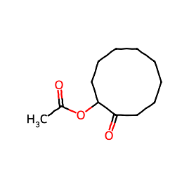 CC(=O)OC1CCCCCCCCC1=O